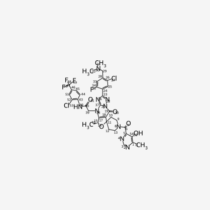 Cc1ncnc(C(=O)N2CCC3(CC2)O[C@@H](C)c2c3c(=O)n3nc(-c4cc(Cl)c(CN(C)C)cc4F)nc3n2CC(=O)Nc2ccc(C(F)(F)F)cc2Cl)c1O